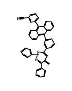 C=C1C=C(c2cccc(-c3c4ccccc4c(-c4cccc(C#N)c4)c4ccccc34)c2)N=C(c2ccccc2)N=C1c1ccccc1